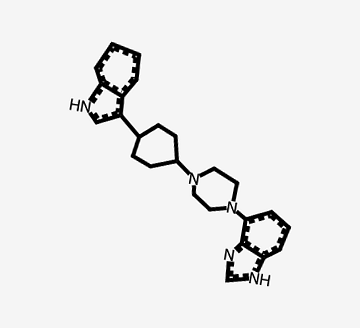 c1ccc2c(C3CCC(N4CCN(c5cccc6[nH]cnc56)CC4)CC3)c[nH]c2c1